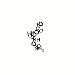 CC(Nc1cccc(C(N)=O)c1)c1cc2cc(Cl)c(OCc3ccccn3)cc2[nH]c1=O